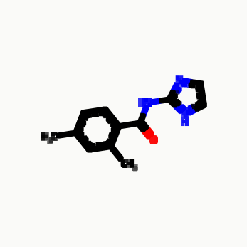 Cc1ccc(C(=O)Nc2ncc[nH]2)c(C)c1